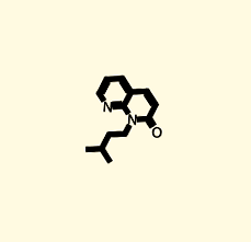 CC(C)CCn1c(=O)ccc2cccnc21